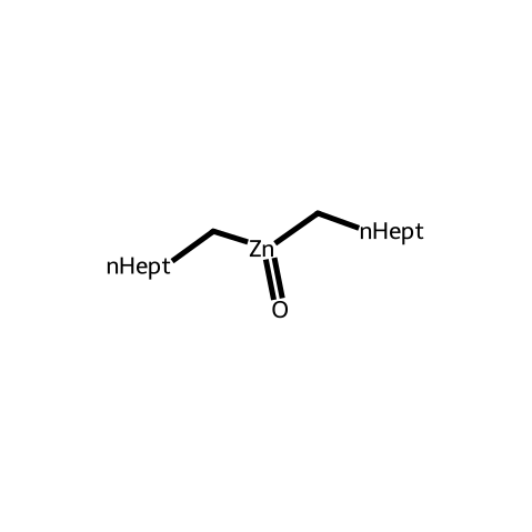 CCCCCCC[CH2][Zn](=[O])[CH2]CCCCCCC